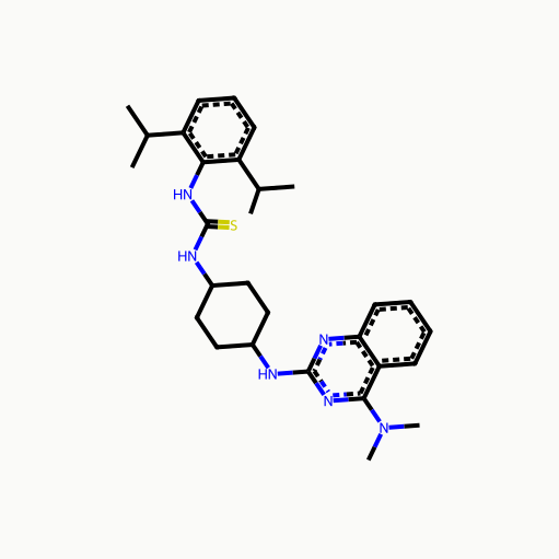 CC(C)c1cccc(C(C)C)c1NC(=S)NC1CCC(Nc2nc(N(C)C)c3ccccc3n2)CC1